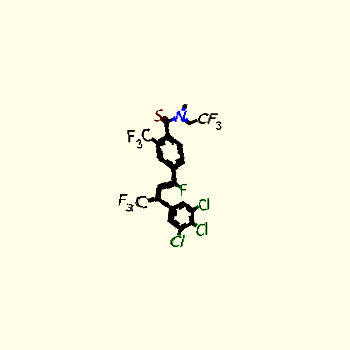 CN(CC(F)(F)F)C(=S)c1ccc(C(F)=CC(c2cc(Cl)c(Cl)c(Cl)c2)C(F)(F)F)cc1C(F)(F)F